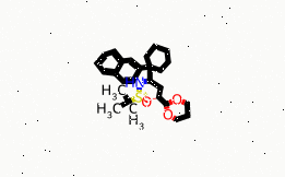 CC(C)(C)[S@@+]([O-])NC(CCC1OCCCO1)C1(c2ccc3ccccc3c2)CCCCC1